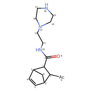 CC(=O)C1C2C=CC(C2)C1C(=O)NCCN1CCNCC1